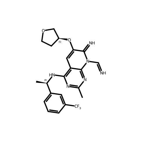 Cc1nc(N[C@H](C)c2cccc(C(F)(F)F)c2)c2cc(O[C@H]3CCOC3)c(=N)n(C=N)c2n1